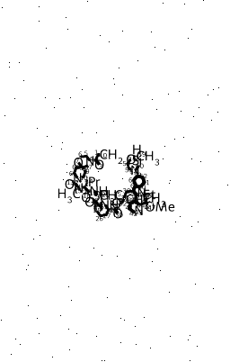 C=CC(=O)N1CCOC2(CCN(C(=O)N(C)[C@H](C(=O)N[Si@@H](C)C(=O)N3CCC[C@@H](C(=O)OCC(C)(C)Cc4c(-c5cccnc5[C@H](C)OC)n(CC)c5ccc(N6CCO[Si@H](C)C6)cc45)N3)C(C)C)CC2)C1